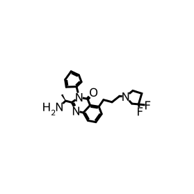 C[C@H](N)c1nc2cccc(CCCN3CCC(F)(F)C3)c2c(=O)n1-c1ccccc1